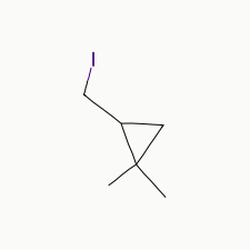 CC1(C)CC1CI